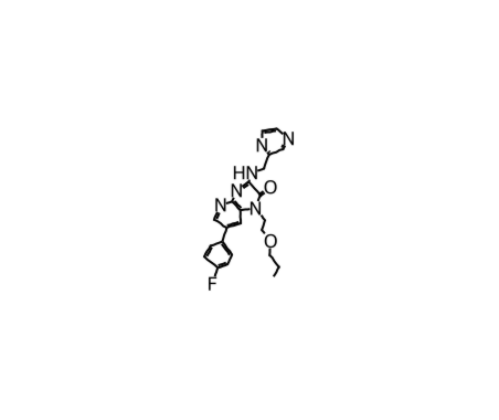 CCCOCCn1c(=O)c(NCc2cnccn2)nc2ncc(-c3ccc(F)cc3)cc21